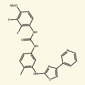 COc1ccc(NC(=O)Nc2ccc(C)c(Nc3nc(-c4cccnc4)cs3)c2)c(F)c1F